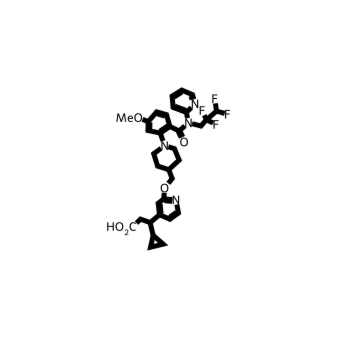 COc1ccc(C(=O)N(CC(F)(F)C(F)F)c2ccccn2)c(N2CCC(COc3cc(C(CC(=O)O)C4CC4)ccn3)CC2)c1